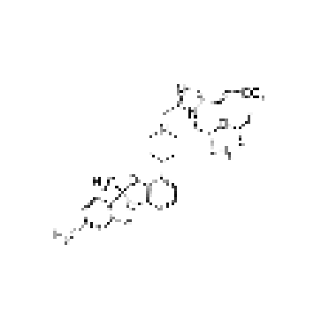 Cc1ccc([C@@]2(C)Oc3cccc(C4CCN(Cc5ncc(/C=C/C(=O)O)n5C[C@@H](C)OC(F)F)CC4)c3O2)c(F)c1